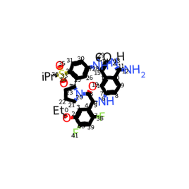 CCOc1cc([C@@H](Nc2ccc3c(N)nccc3c2)C(=O)N2CCC[C@@H]2c2cc(NC(=O)O)ccc2S(=O)(=O)C(C)C)c(F)cc1F